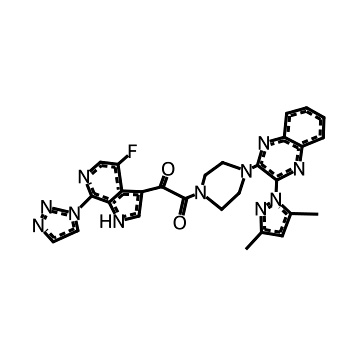 Cc1cc(C)n(-c2nc3ccccc3nc2N2CCN(C(=O)C(=O)c3c[nH]c4c(-n5ccnn5)ncc(F)c34)CC2)n1